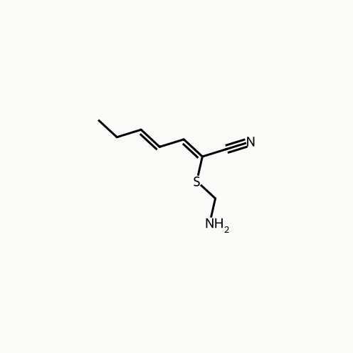 CC/C=C/C=C(/C#N)SCN